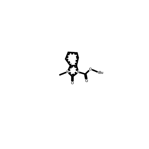 Cn1c(=O)n(C(=O)OC(C)(C)C)c2ccccc21